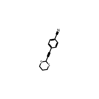 N#Cc1ccc(C#CC2SCCCS2)cc1